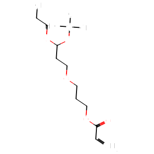 C=CC(=O)OCCCOCCC(OCCC)O[Si](C)(C)C